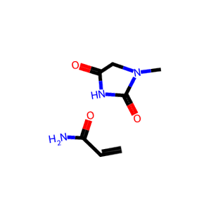 C=CC(N)=O.CN1CC(=O)NC1=O